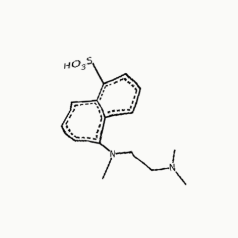 CN(C)CCN(C)c1cccc2c(S(=O)(=O)O)cccc12